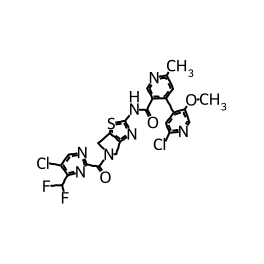 COc1cnc(Cl)cc1-c1cc(C)ncc1C(=O)Nc1nc2c(s1)CN(C(=O)c1ncc(Cl)c(C(F)F)n1)C2